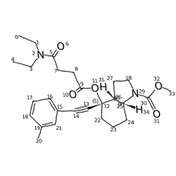 CCN(CC)C(=O)CCC(=O)O[C@@]1(C#Cc2cccc(C)c2)CCC[C@@H]2[C@H]1CCN2C(=O)OC